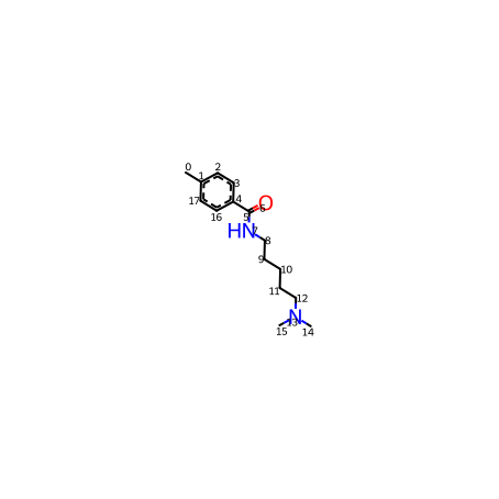 Cc1ccc(C(=O)NCCCCCN(C)C)cc1